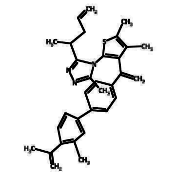 C=CCC(C)c1nnc(C)n1-c1sc(C)c(C)c1C(=C)c1ccc(-c2ccc(C(=C)C)c(C)c2)cc1